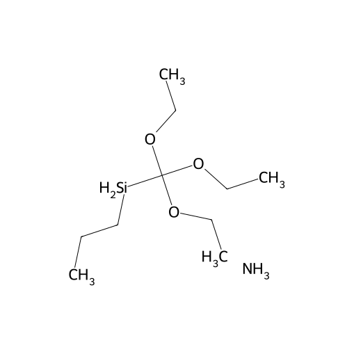 CCC[SiH2]C(OCC)(OCC)OCC.N